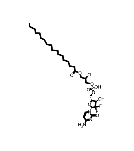 CCCCCCCCCCCCCCCCCC(=O)OCC(Cl)COP(=O)(O)OC[C@H]1O[C@@H](n2ccc(N)nc2=O)C(F)(F)[C@@H]1O